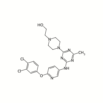 Cc1nc(Nc2ccc(Oc3ccc(Cl)c(Cl)c3)nc2)nc(N2CCN(CCO)CC2)n1